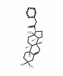 C[C@@]1(O)CC[C@H]2C(=CC[C@@H]3[C@@H]2CC[C@]2(C)[C@@H](C(=O)Cc4ccccc4)CC[C@@H]32)C1